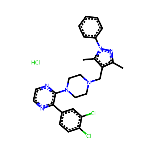 Cc1nn(-c2ccccc2)c(C)c1CN1CCN(c2nccnc2-c2ccc(Cl)c(Cl)c2)CC1.Cl